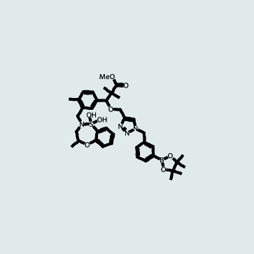 COC(=O)C(C)(C)C(OCc1cn(Cc2cccc(B3OC(C)(C)C(C)(C)O3)c2)nn1)c1ccc(C)c(CN2CC(C)Oc3ccccc3S2(O)O)c1